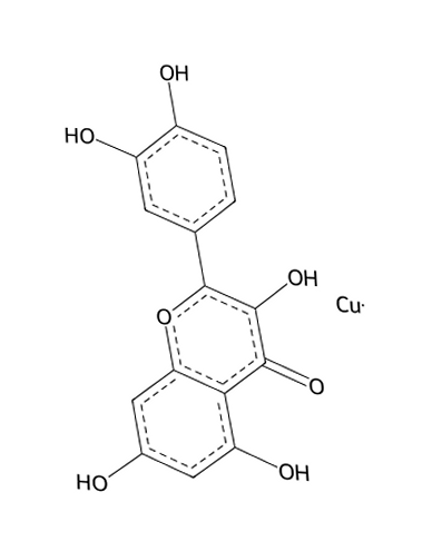 O=c1c(O)c(-c2ccc(O)c(O)c2)oc2cc(O)cc(O)c12.[Cu]